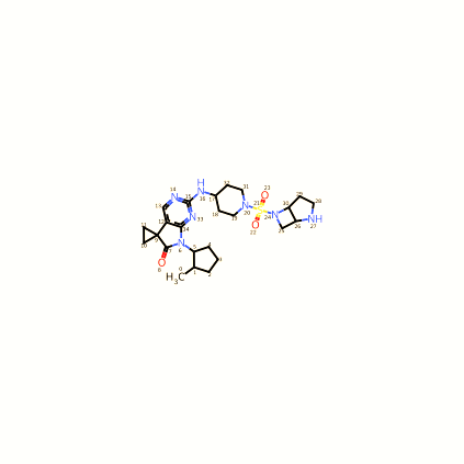 CC1CCCC1N1C(=O)C2(CC2)c2cnc(NC3CCN(S(=O)(=O)N4CC5NCCC54)CC3)nc21